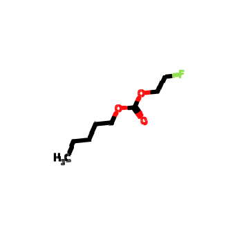 CCCCCOC(=O)OCCF